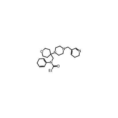 CCC(=O)N(CC1(N2CCN(CC3=CCCN=C3)CC2)CCOCC1)C1=CCCC=C1